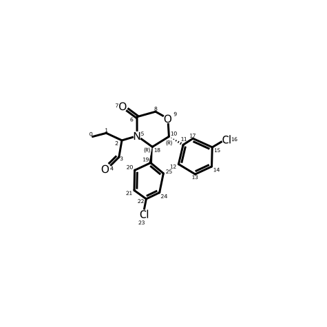 CCC(C=O)N1C(=O)CO[C@H](c2cccc(Cl)c2)[C@H]1c1ccc(Cl)cc1